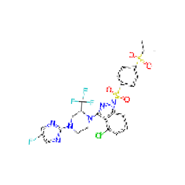 CC(C)S(=O)(=O)c1ccc(S(=O)(=O)n2nc(N3CCN(c4ncc(F)cn4)CC3C(F)(F)F)c3c(Cl)cccc32)cc1